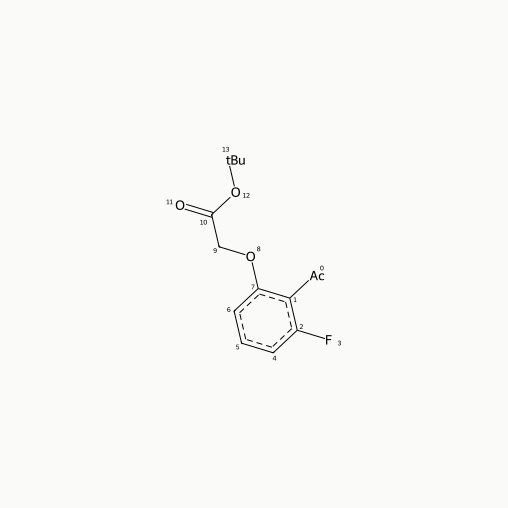 CC(=O)c1c(F)cccc1OCC(=O)OC(C)(C)C